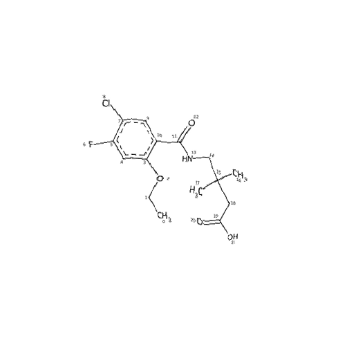 CCOc1cc(F)c(Cl)cc1C(=O)NCC(C)(C)CC(=O)O